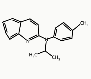 Cc1ccc(N(c2ccc3ccccc3n2)C(C)C)cc1